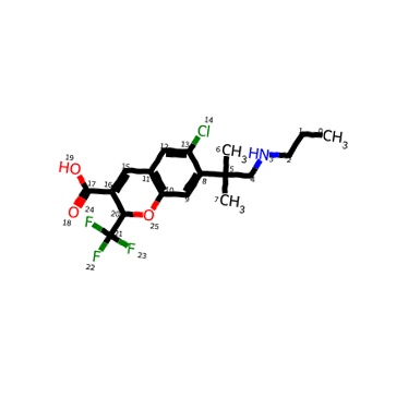 CCCNCC(C)(C)c1cc2c(cc1Cl)C=C(C(=O)O)C(C(F)(F)F)O2